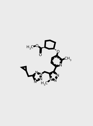 COC(=O)[C@H]1CCC[C@H](Oc2ccc(-c3nnn(C)c3Cn3nnc(CC4CC4)n3)nc2C)C1